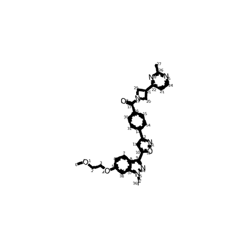 COCCOc1ccc2c(-c3cc(-c4ccc(C(=O)N5CC(c6ccnc(C)n6)C5)cc4)no3)nn(F)c2c1